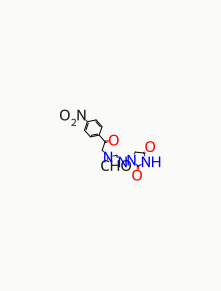 O=CN(C=NN1CC(=O)NC1=O)CC(=O)c1ccc([N+](=O)[O-])cc1